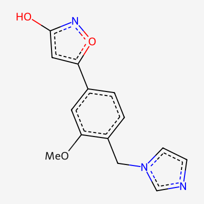 COc1cc(-c2cc(O)no2)ccc1Cn1ccnc1